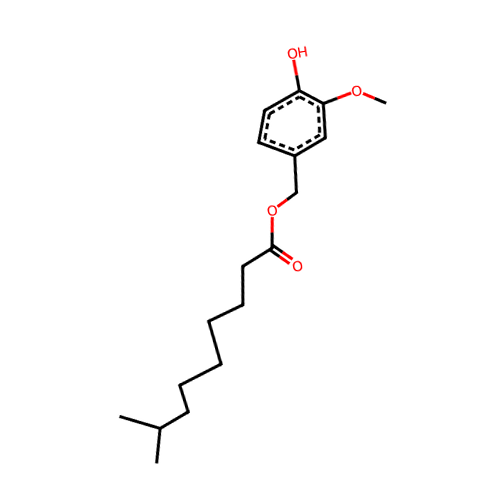 COc1cc(COC(=O)CCCCCCC(C)C)ccc1O